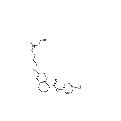 C=CCN(C)CCCCOc1ccc2c(c1)CCCN2C(=S)Oc1ccc(Cl)cc1